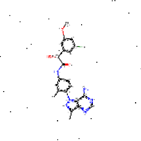 Cc1cc(NC(=O)[C@H](O)c2cc(F)cc(OC(F)(F)F)c2)ccc1-n1nc(C)c2ncnc(N)c21